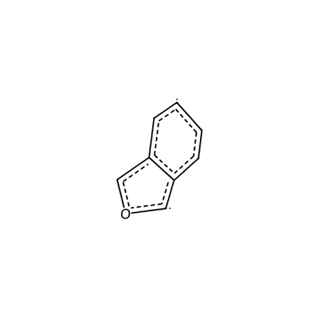 [c]1ccc2[c]occ2c1